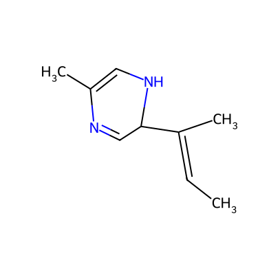 C/C=C(\C)C1C=NC(C)=CN1